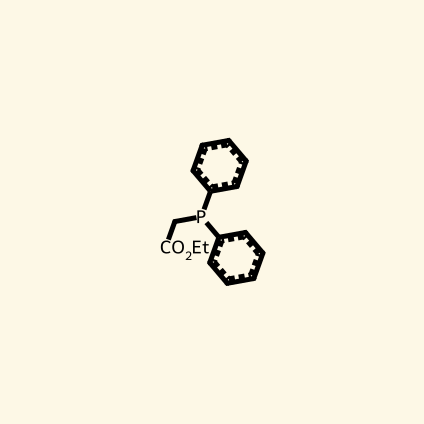 CCOC(=O)CP(c1ccccc1)c1ccccc1